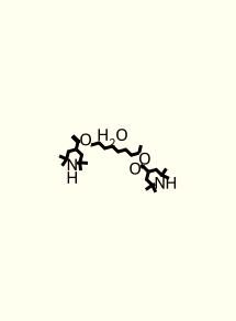 C=C(OCCCCCCCC(C)OC(=O)C1CC(C)(C)NC(C)(C)C1)C1CC(C)(C)NC(C)(C)C1.O